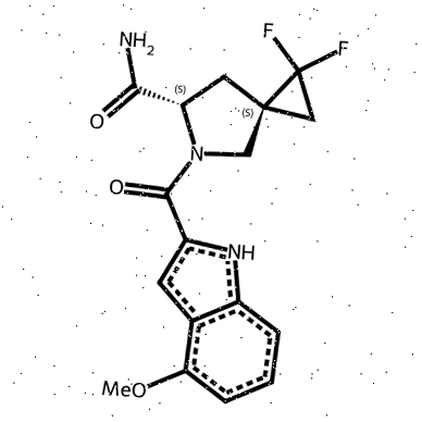 COc1cccc2[nH]c(C(=O)N3C[C@]4(C[C@H]3C(N)=O)CC4(F)F)cc12